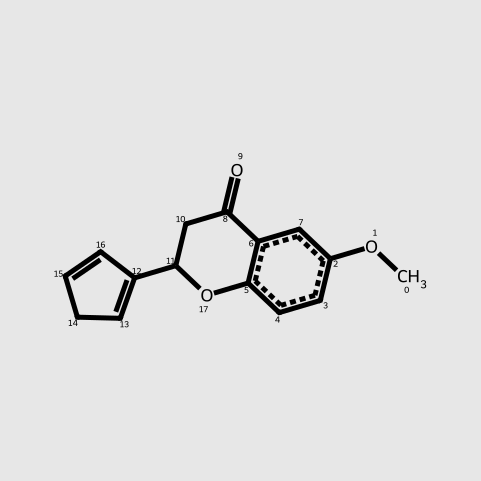 COc1ccc2c(c1)C(=O)CC(C1=CCC=C1)O2